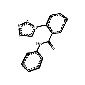 O=C(Nc1ccccc1)c1ccccc1-n1cnnn1